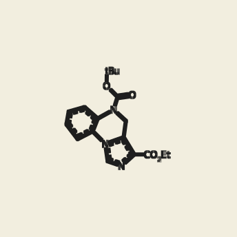 CCOC(=O)c1ncn2c1CN(C(=O)OC(C)(C)C)c1ccccc1-2